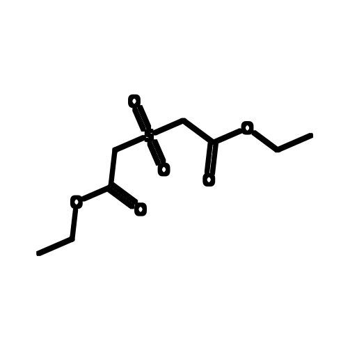 CCOC(=O)CS(=O)(=O)CC(=O)OCC